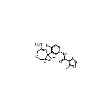 CCC1(c2cc(NC(=O)c3ncoc3C)ccc2F)N=C(N)COCC1(F)F